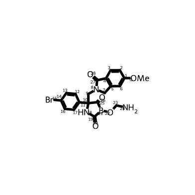 COc1ccc2c(c1)CN(CC1(c3ccc(Br)cc3)NC(=O)B(OCN)C1=O)C2=O